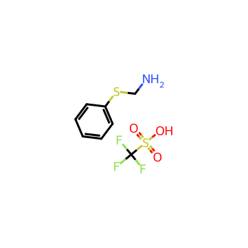 NCSc1ccccc1.O=S(=O)(O)C(F)(F)F